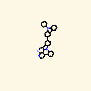 c1ccc(-n2c3ccccc3c3cc(-c4ccc5c(c4)c4cnc6nccc7c8ccccc8n5c4c67)ccc32)cc1